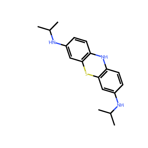 CC(C)Nc1ccc2c(c1)Sc1cc(NC(C)C)ccc1N2